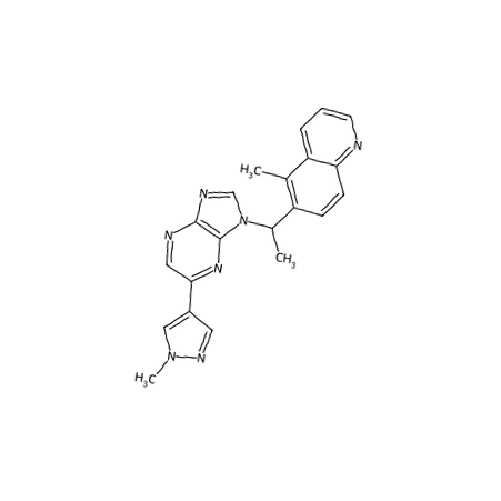 Cc1c(C(C)n2cnc3ncc(-c4cnn(C)c4)nc32)ccc2ncccc12